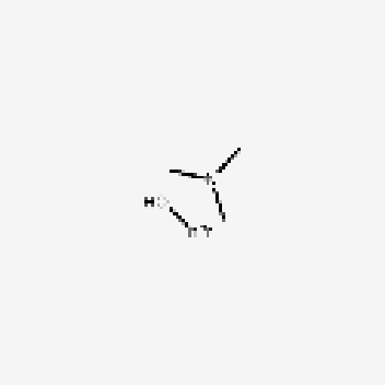 CCCO.CN(C)C